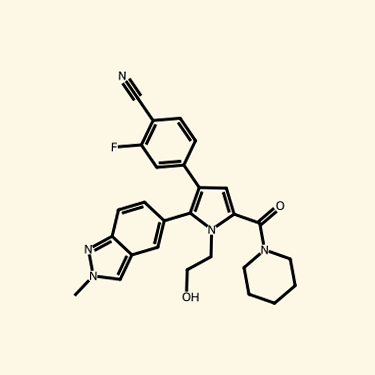 Cn1cc2cc(-c3c(-c4ccc(C#N)c(F)c4)cc(C(=O)N4CCCCC4)n3CCO)ccc2n1